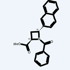 COC(=O)[C@H]1C[C@H](c2ccc3ccccc3c2)N1C(=O)c1ccccc1